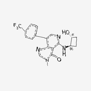 Cn1cnc2c(-c3ccc(C(F)(F)F)cc3)cnc(N[C@@H]3CC[C@H]3O)c2c1=O